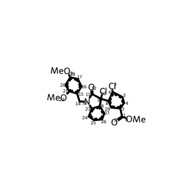 COC(=O)c1ccc(Cl)c(C2(Cl)C(=O)N(Cc3ccc(OC)cc3OC)c3ccccc32)c1